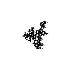 CC(C)(C#Cc1ccc(-c2ccc(Cl)c3c(NS(=O)(=O)C4CC4)nn(CC(F)F)c23)c([C@H](Cc2cc(F)cc(F)c2)NC(=O)Cn2nc(C(F)F)c3c2C(F)(F)CCC3(F)F)n1)S(=O)(=O)C1CC1